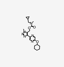 CN(CC1CC1)C(=O)OCc1c(-c2cnc(OC3CCCCC3)cn2)nnn1C